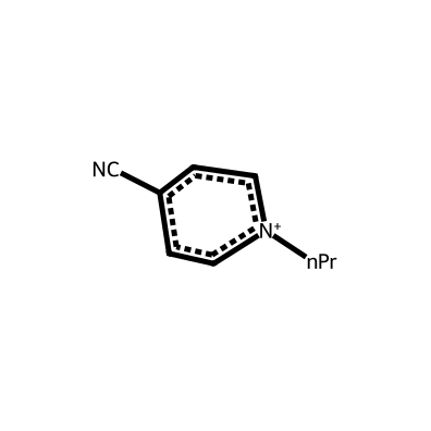 CCC[n+]1ccc(C#N)cc1